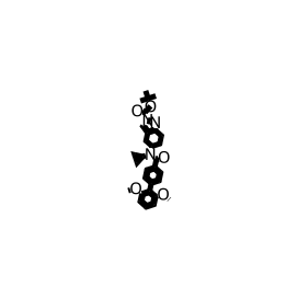 COc1cccc(OC)c1-c1ccc(C(=O)N(C2CC2)C2CCc3nn(C(=O)OC(C)(C)C)cc3C2)cc1